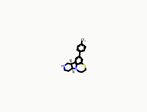 FC(F)(F)c1ccc(-c2cc3c4c(c2)[C@@H]2CNCC[C@@H]2N4CCCS3)cc1